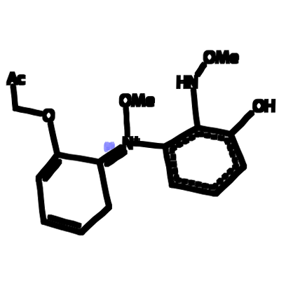 CONc1c(O)cccc1/[N+](OC)=C1\CC=CC=C1OCC(C)=O